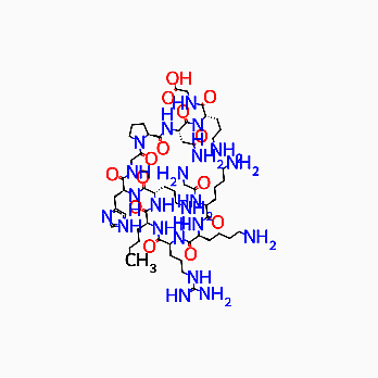 CCCC[C@H](NC(=O)[C@H](CCCNC(=N)N)NC(=O)[C@H](CCCCN)NC(=O)[C@H](CCCCN)NC(=O)CN)C(=O)N[C@@H](CCCN)C(=O)N[C@@H](Cc1c[nH]cn1)C(=O)NCC(=O)N1CCC[C@H]1C(=O)N[C@@H](CC(N)=O)C(=O)N[C@@H](CCCN)C(=O)NCC(=O)O